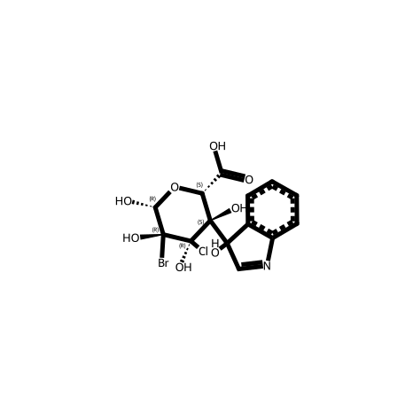 O=C(O)[C@H]1O[C@@H](O)[C@@](O)(Br)[C@](O)(Cl)[C@@]1(O)C1(O)C=Nc2ccccc21